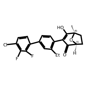 CCc1cc(-c2ccc(Cl)c(F)c2F)ccc1C1=C(O)[C@@]2(C)CC[C@H](O2)C1=O